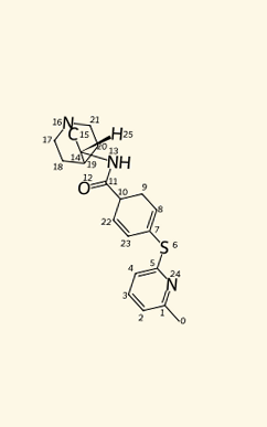 Cc1cccc(SC2=CCC(C(=O)N[C@H]3CN4CCC3CC4)C=C2)n1